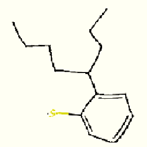 CCCCC(CCC)c1ccccc1[S]